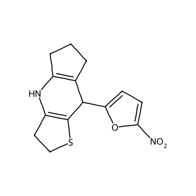 O=[N+]([O-])c1ccc(C2C3=C(CCC3)NC3=C2SCC3)o1